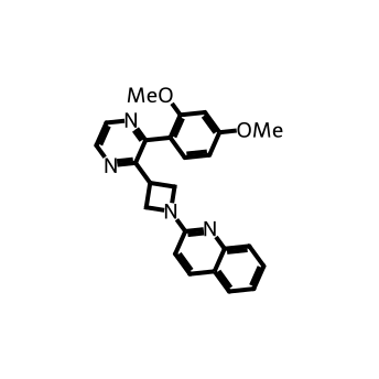 COc1ccc(-c2nccnc2C2CN(c3ccc4ccccc4n3)C2)c(OC)c1